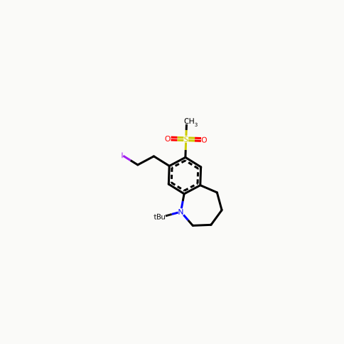 CC(C)(C)N1CCCCc2cc(S(C)(=O)=O)c(CCI)cc21